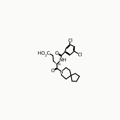 O=C(O)CC[C@@H](NC(=O)c1cc(Cl)cc(Cl)c1)C(=O)N1CCC2(CCCC2)CC1